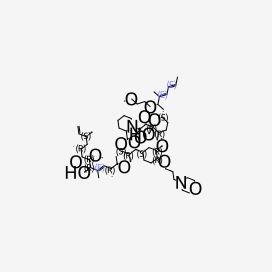 C=C[C@@H](C)C[C@@H](C)C(=O)[C@H](OC)[C@H](O)/C(C)=C/[C@@H](C)C(=O)C[C@H](OC(=O)C1CCCCN1C(=O)C(=O)[C@]1(O)O[C@H](CC(OCCOC)/C(C)=C/C=C/C)CC[C@H]1C)[C@H](C)C[C@@H]1CC[C@@H](OCCCN2CCOCC2)[C@H](OC)C1